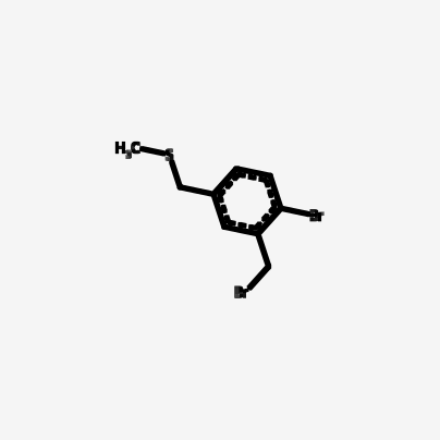 CSCc1ccc(Br)c(CBr)c1